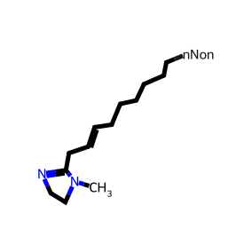 CCCCCCCCCCCCCCCC=CCC1=NCCN1C